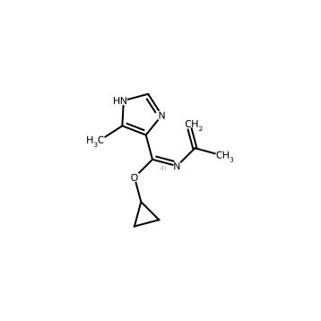 C=C(C)/N=C(/OC1CC1)c1nc[nH]c1C